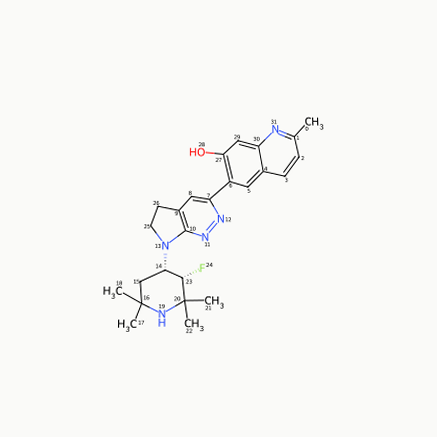 Cc1ccc2cc(-c3cc4c(nn3)N([C@H]3CC(C)(C)NC(C)(C)[C@H]3F)CC4)c(O)cc2n1